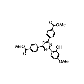 COC(=O)c1ccc(-c2nc(-c3ccc(C(=O)OC)cc3)nc(-c3ccc(OC)cc3O)n2)cc1